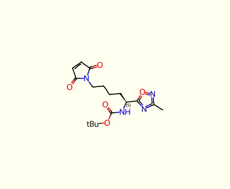 Cc1noc([C@H](CCCCN2C(=O)C=CC2=O)NC(=O)OC(C)(C)C)n1